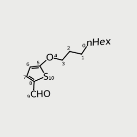 CCCCCCCCCOc1ccc(C=O)s1